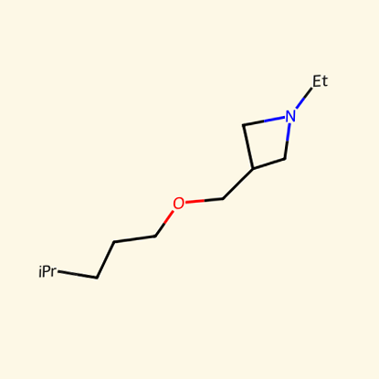 CCN1CC(COCCCC(C)C)C1